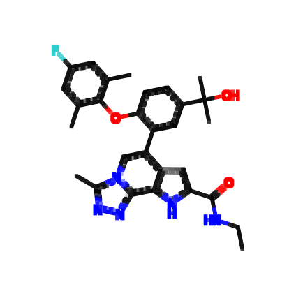 CCNC(=O)c1cc2c(-c3cc(C(C)(C)O)ccc3Oc3c(C)cc(F)cc3C)cn3c(C)nnc3c2[nH]1